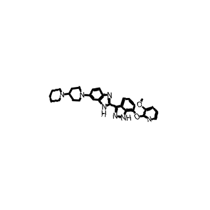 COc1cccnc1Oc1cccc2c(-c3nc4ccc(N5CCC(N6CCCCC6)CC5)cc4[nH]3)n[nH]c12